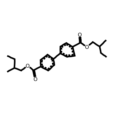 CCC(C)COC(=O)c1ccc(-c2ccc(C(=O)OCC(C)CC)cc2)cc1